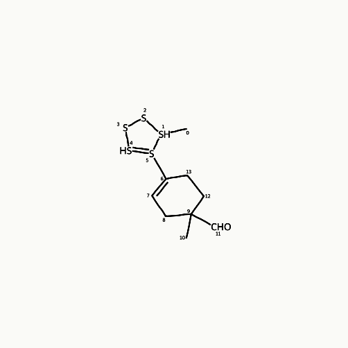 C[SH]1SS[SH]=S1C1=CCC(C)(C=O)CC1